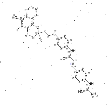 Cc1c2c(c3ccccc3c1O)OC(C)(CCSc1ccc(NC(=O)/C=C/c3ccc(NC(=N)N)cc3)cc1)CC2